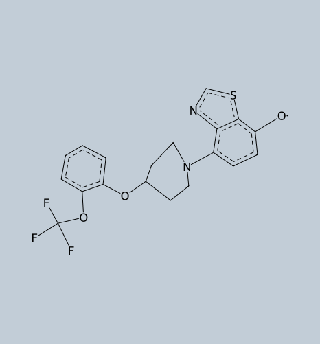 [O]c1ccc(N2CCC(Oc3ccccc3OC(F)(F)F)CC2)c2ncsc12